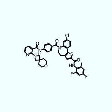 Cc1cc(F)cc(F)c1NC(=O)c1cc2c(s1)-c1ccc(Cl)cc1N(C(=O)c1ccc(NC(=O)c3cccnc3N3CC4(CCOCC4)C3)cc1)CC2